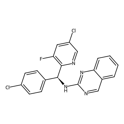 Fc1cc(Cl)cnc1[C@@H](Nc1ncc2ccccc2n1)c1ccc(Cl)cc1